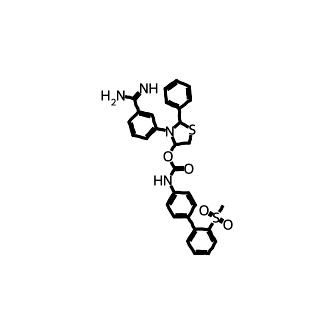 CS(=O)(=O)c1ccccc1-c1ccc(NC(=O)OC2CSC(c3ccccc3)N2c2cccc(C(=N)N)c2)cc1